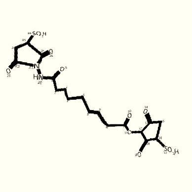 O=C(CCCCCCCC(=O)OC1C(=O)CC(S(=O)(=O)O)C1=O)NN1C(=O)CC(S(=O)(=O)O)C1=O